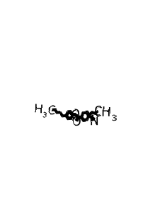 CCCCCc1ccc(OC(=O)C2CCC(C#N)(CCC)CC2)cc1